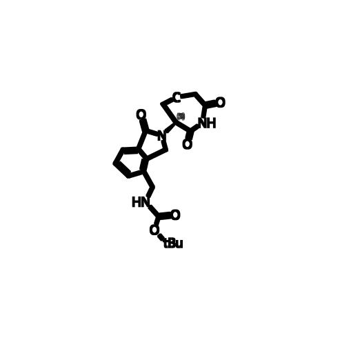 CC(C)(C)OC(=O)NCc1cccc2c1CN([C@H]1CCCC(=O)NC1=O)C2=O